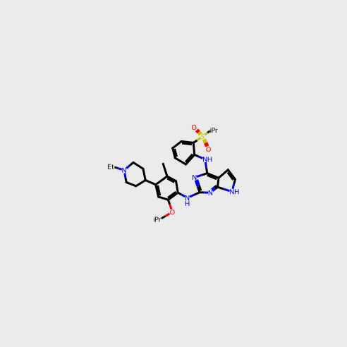 CCN1CCC(c2cc(OC(C)C)c(Nc3nc(Nc4ccccc4S(=O)(=O)C(C)C)c4cc[nH]c4n3)cc2C)CC1